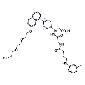 C=C(/C=C\C(=C/C)c1cccc2ccc(OCCOCCOCCC(C)(C)C)cc12)[C@H](CC(=O)O)NC(=O)CNC(=O)CCCNc1cc(C)ccn1